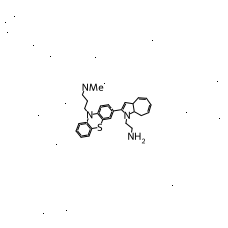 CNCCCN1c2ccccc2Sc2cc(C3=CC4C=CC=CCC4N3CCN)ccc21